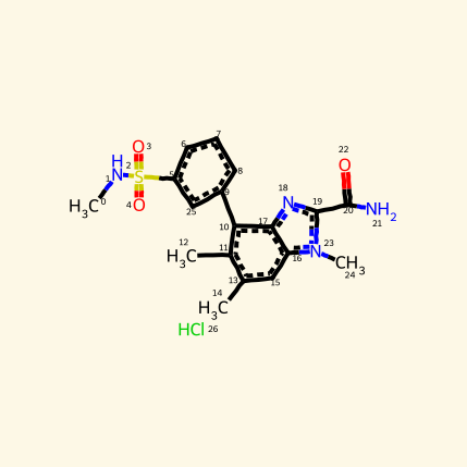 CNS(=O)(=O)c1cccc(-c2c(C)c(C)cc3c2nc(C(N)=O)n3C)c1.Cl